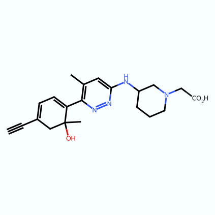 C#CC1=CC=C(c2nnc(NC3CCCN(CC(=O)O)C3)cc2C)C(C)(O)C1